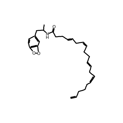 C=CCCC/C=C\C/C=C/CC/C=C\C/C=C/CCC(=O)NC(C)Cc1ccc2ooc2c1